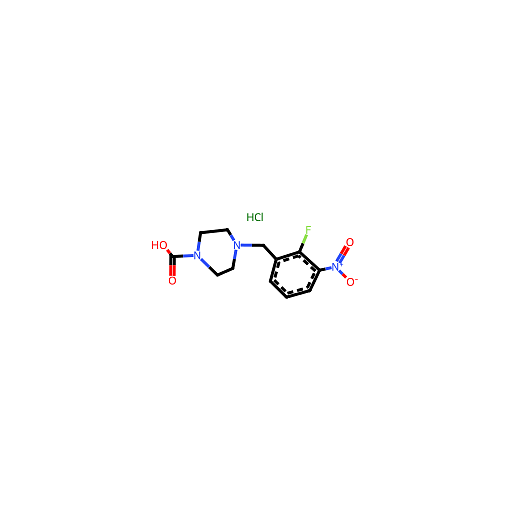 Cl.O=C(O)N1CCN(Cc2cccc([N+](=O)[O-])c2F)CC1